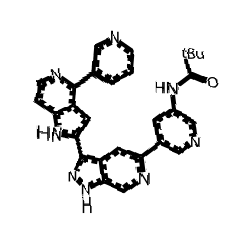 CC(C)(C)C(=O)Nc1cncc(-c2cc3c(-c4cc5c(-c6cccnc6)nccc5[nH]4)n[nH]c3cn2)c1